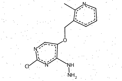 Cc1ncccc1COc1cnc(Cl)nc1NN